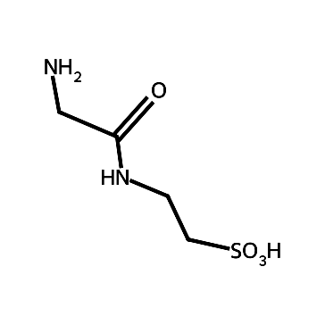 NCC(=O)NCCS(=O)(=O)O